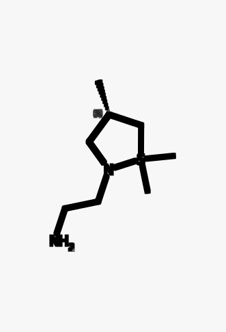 C[C@H]1CN(CCN)S(C)(C)C1